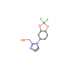 OCc1nc#cn1-c1ccc2c(c1)OC(F)(F)O2